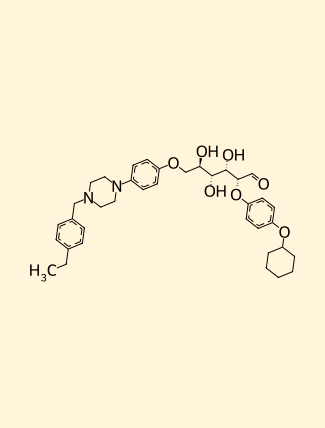 CCc1ccc(CN2CCN(c3ccc(OC[C@@H](O)[C@@H](O)[C@H](O)[C@H](C=O)Oc4ccc(OC5CCCCC5)cc4)cc3)CC2)cc1